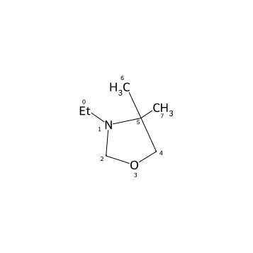 CCN1COCC1(C)C